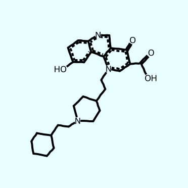 O=C(O)c1cn(CCC2CCN(CCC3CCCCC3)CC2)c2c(cnc3ccc(O)cc32)c1=O